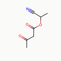 CC(=O)CC(=O)OC(C)C#N